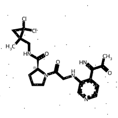 CC(=O)C(=N)c1ccncc1NCC(=O)N1CCC[C@H]1C(=O)NCC1(C)CC1(Cl)Cl